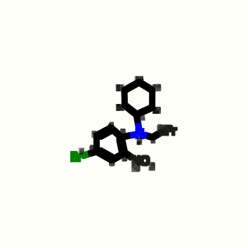 CC(C)CN(c1ccc(Br)cc1[N+](=O)[O-])C1CCCCC1